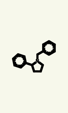 c1ccc(CN2CCCC2c2ccccc2)cc1